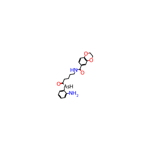 Nc1ccccc1[AsH]C(=O)CCCCNC(=O)c1ccc2c(c1)OCCO2